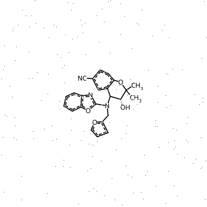 CC1(C)Oc2ccc(C#N)cc2C(N(Cc2ccco2)c2nc3ccccc3o2)[C@H]1O